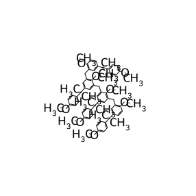 COc1ccc(C(C)(C)c2ccc(OC)c(Cc3cc(C(C)(C)c4ccc(OC)cc4)cc(Cc4cc(C(C)(C)c5ccc(OC)cc5)cc(Cc5cc(C(C)(C)c6ccc(OC)cc6)ccc5OC)c4OC)c3OC)c2)cc1